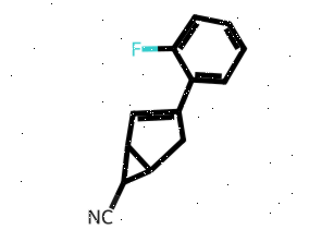 N#CC1C2C=C(c3ccccc3F)CC12